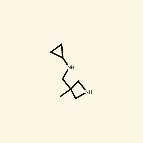 CC1(CNC2CC2)CNC1